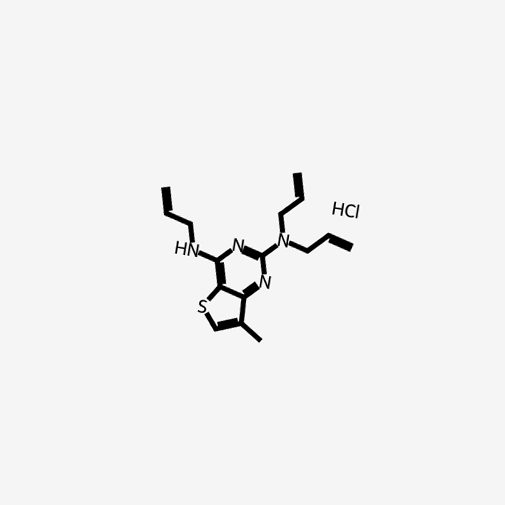 C=CCNc1nc(N(CC=C)CC=C)nc2c(C)csc12.Cl